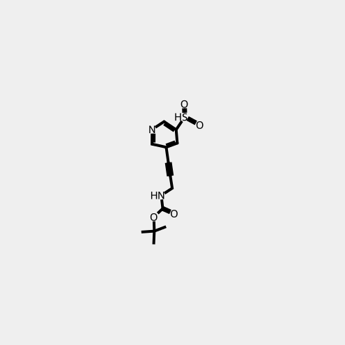 CC(C)(C)OC(=O)NCC#Cc1cncc([SH](=O)=O)c1